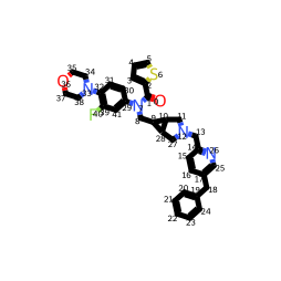 O=C(c1cccs1)N(CC1C2CN(Cc3ccc(Cc4ccccc4)cn3)CC21)c1ccc(N2CCOCC2)c(F)c1